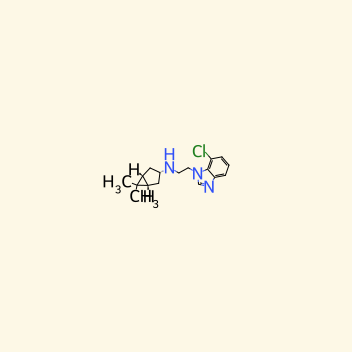 CC1(C)[C@@H]2C[C@H](NCCn3cnc4cccc(Cl)c43)C[C@@H]21